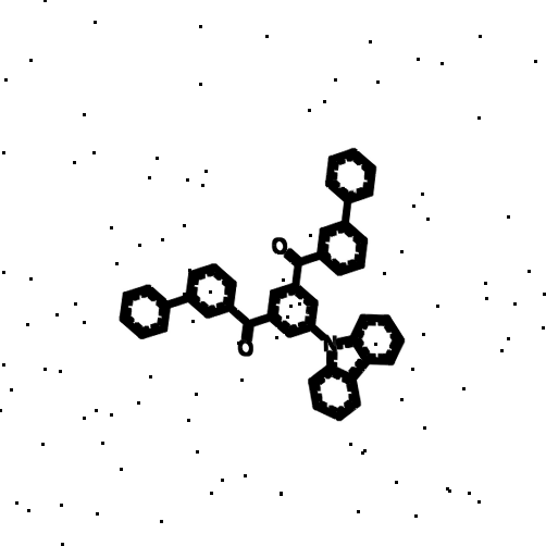 O=C(c1cccc(-c2ccccc2)c1)c1cc(C(=O)c2cccc(-c3ccccc3)c2)cc(-n2c3ccccc3c3ccccc32)c1